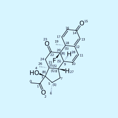 CC(=O)[C@@]1(O)[C@@H](C)C[C@H]2[C@@H]3C=CC4=CC(=O)C=C[C@]4(C)[C@@]3(F)C(=O)C[C@@]21C